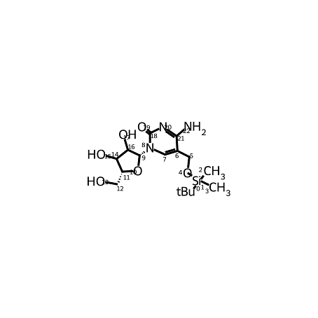 CC(C)(C)[Si](C)(C)OCc1cn([C@@H]2O[C@H](CO)C(O)C2O)c(=O)nc1N